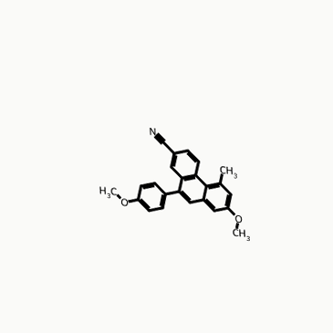 COc1ccc(-c2cc3cc(OC)cc(C)c3c3ccc(C#N)cc23)cc1